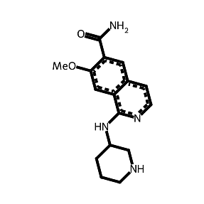 COc1cc2c(NC3CCCNC3)nccc2cc1C(N)=O